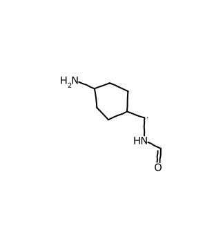 NC1CCC([CH]NC=O)CC1